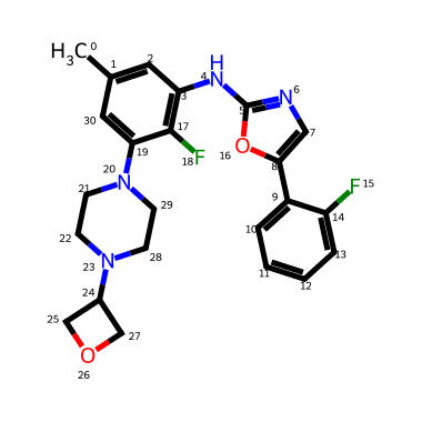 Cc1cc(Nc2ncc(-c3ccccc3F)o2)c(F)c(N2CCN(C3COC3)CC2)c1